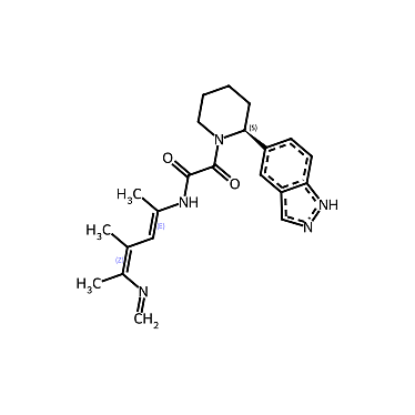 C=N/C(C)=C(C)\C=C(/C)NC(=O)C(=O)N1CCCC[C@H]1c1ccc2[nH]ncc2c1